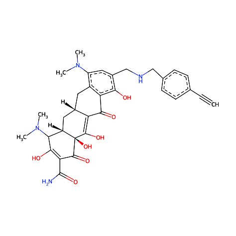 C#Cc1ccc(CNCc2cc(N(C)C)c3c(c2O)C(=O)C2=C(O)[C@]4(O)C(=O)C(C(N)=O)=C(O)C(N(C)C)[C@@H]4C[C@@H]2C3)cc1